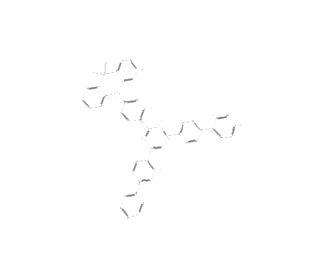 CC1(C)c2ccccc2N(c2ccc(-c3nc(-c4ccc(-c5ccccc5)cc4)nc(-c4ccc(-c5ccccc5)cc4)n3)cc2)c2ccccc21